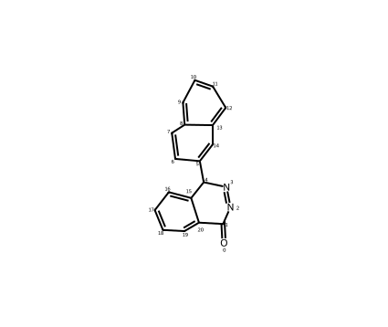 O=C1N=NC(c2ccc3ccccc3c2)c2ccccc21